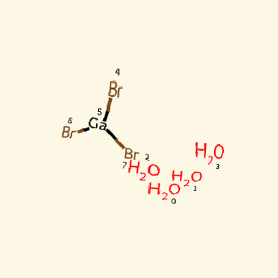 O.O.O.O.[Br][Ga]([Br])[Br]